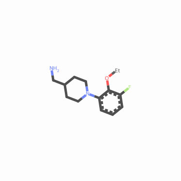 CCOc1c(F)cccc1N1CCC(CN)CC1